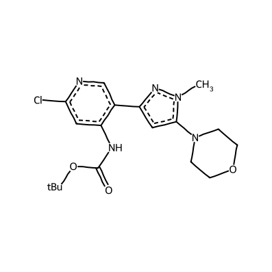 Cn1nc(-c2cnc(Cl)cc2NC(=O)OC(C)(C)C)cc1N1CCOCC1